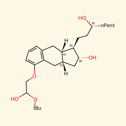 CCCCC[C@@H](O)CC[C@@H]1[C@H]2Cc3cccc(OCC(O)OC(C)(C)C)c3C[C@H]2C[C@H]1O